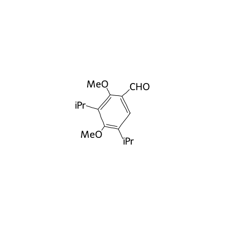 COc1c(C=O)cc(C(C)C)c(OC)c1C(C)C